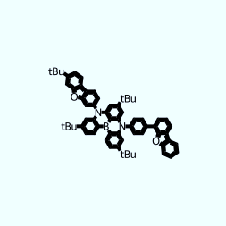 CC(C)(C)c1ccc2c(c1)N(c1ccc(-c3cccc4c3oc3ccccc34)cc1)c1cc(C(C)(C)C)cc3c1B2c1ccc(C(C)(C)C)cc1N3c1ccc2c(c1)oc1cc(C(C)(C)C)ccc12